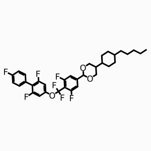 CCCCCC1CCC(C2COC(c3cc(F)c(C(F)(F)Oc4cc(F)c(-c5ccc(F)cc5)c(F)c4)c(F)c3)OC2)CC1